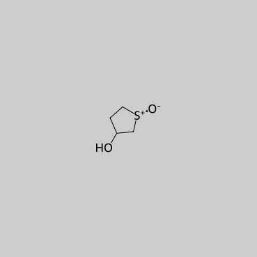 [O-][S@+]1CCC(O)C1